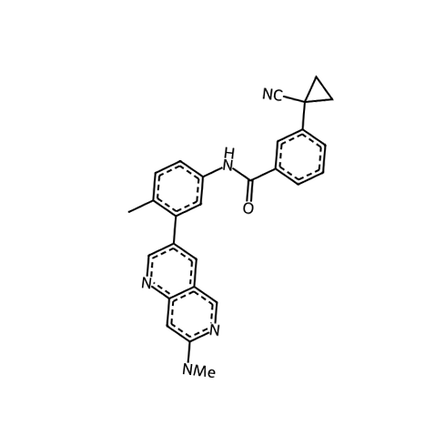 CNc1cc2ncc(-c3cc(NC(=O)c4cccc(C5(C#N)CC5)c4)ccc3C)cc2cn1